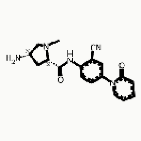 CN1C[C@@H](N)C[C@H]1C(=O)Nc1ccc(-n2ccccc2=O)cc1C#N